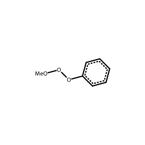 COOOc1ccccc1